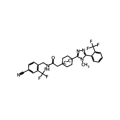 Cn1c(-c2ccccc2C(F)(F)F)nnc1C12CCC(CC(=O)NCc3ccc(C#N)cc3C(F)(F)F)(CC1)CC2